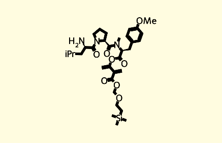 C=C(OC(=O)[C@H](Cc1ccc(OC)cc1)N(C)C(=O)[C@@H]1CCCN1C(=O)[C@@H](N)CC(C)C)C(=C)C(=O)OCOCC[Si](C)(C)C